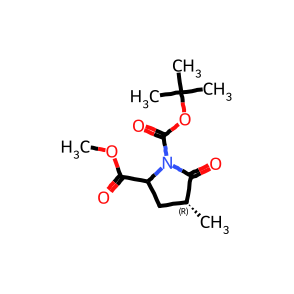 COC(=O)C1C[C@@H](C)C(=O)N1C(=O)OC(C)(C)C